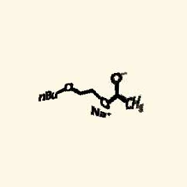 CCCCOCCOC(C)[O-].[Na+]